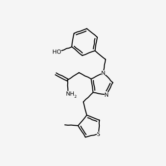 C=C(N)Cc1c(Cc2cscc2C)ncn1Cc1cccc(O)c1